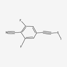 N#Cc1c(F)cc(C#CSI)cc1F